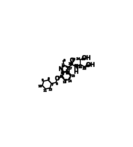 Cc1nc2c(OCC3CCCCC3)cccn2c1C(=O)NC(CO)CO